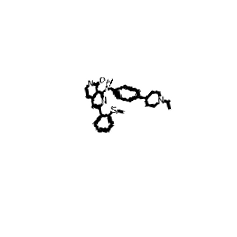 CCN1CCC(c2ccc(Nc3nc(-c4ccccc4SC)cc4c3C(=O)[N]C=C4)cc2)CC1